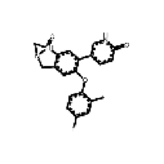 O=c1ccc(-c2cc3c(cc2Oc2ccc(F)cc2F)CN2C[SH]32=O)c[nH]1